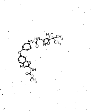 COC(=O)Nc1nc2cc(Oc3ccc(NC(=O)Nc4cc(C(C)(C)C)on4)cc3)ccc2[nH]1